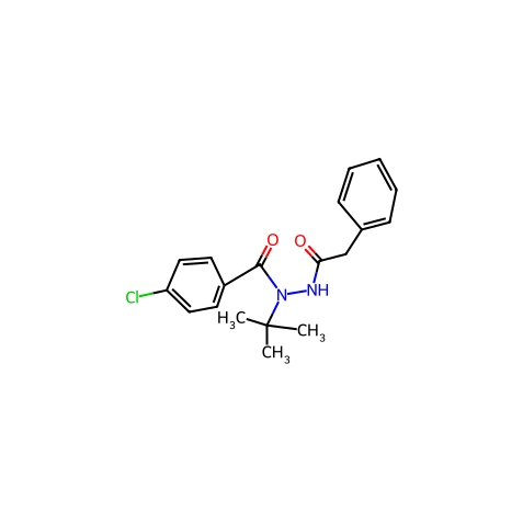 CC(C)(C)N(NC(=O)Cc1ccccc1)C(=O)c1ccc(Cl)cc1